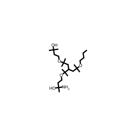 CCCCOC(C)(C)CC(CC(C)(C)OCCC(C)(C)O)C(C)(C)OCCC(C)(N)O